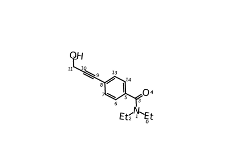 CCN(CC)C(=O)c1ccc(C#CCO)cc1